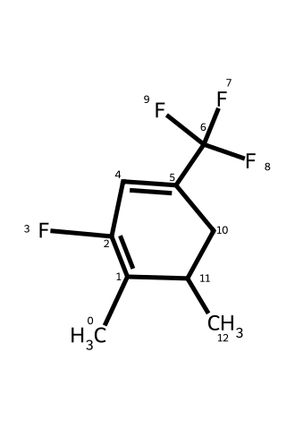 CC1=C(F)C=C(C(F)(F)F)CC1C